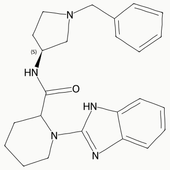 O=C(N[C@H]1CCN(Cc2ccccc2)C1)C1CCCCN1c1nc2ccccc2[nH]1